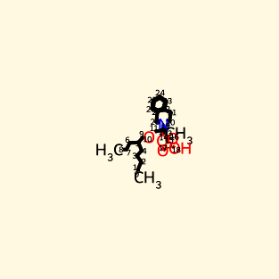 CCCCCC(CCC)COCC(C)(OS(=O)(=O)O)N1CCc2ccccc2C1